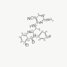 C[C@H](Nc1nc(N)ncc1C#N)c1nc2cccc(Cl)c2c(=O)n1-c1ccc(F)cc1